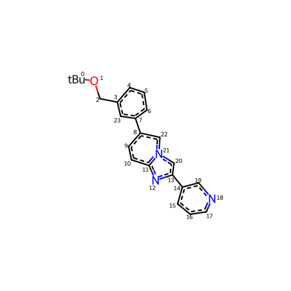 CC(C)(C)OCc1cccc(-c2ccc3nc(-c4cccnc4)cn3c2)c1